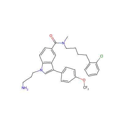 CN(CCCCc1ccccc1Cl)C(=O)c1ccc2c(c1)c(-c1ccc(OC(F)(F)F)cc1)cn2CCCN